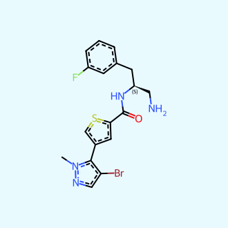 Cn1ncc(Br)c1-c1csc(C(=O)N[C@H](CN)Cc2cccc(F)c2)c1